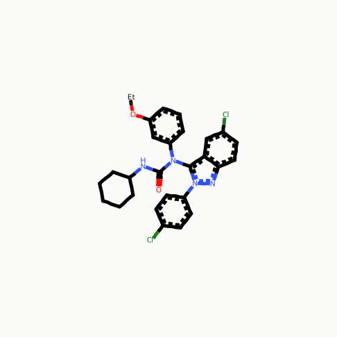 CCOc1cccc(N(C(=O)NC2CCCCC2)c2c3cc(Cl)ccc3nn2-c2ccc(Cl)cc2)c1